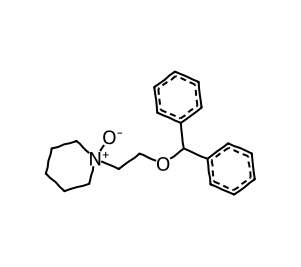 [O-][N+]1(CCOC(c2ccccc2)c2ccccc2)CCCCC1